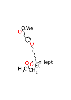 C=C(C)C(=O)OCC(CCCCCCOc1ccc(/C=C/C(=O)OC)cc1)C(CC)CCCCCCC